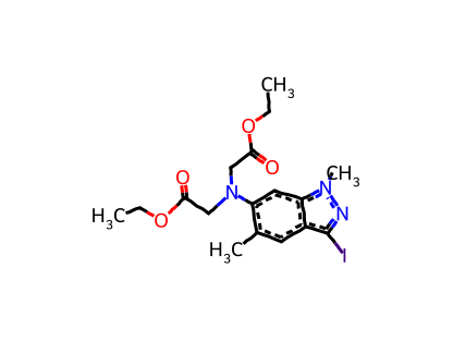 CCOC(=O)CN(CC(=O)OCC)c1cc2c(cc1C)c(I)nn2C